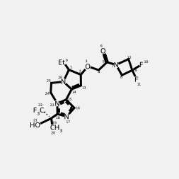 CCC1C(OCC(=O)N2CC(F)(F)C2)C=C2c3cnc([C@@](C)(O)C(F)(F)F)n3CCN21